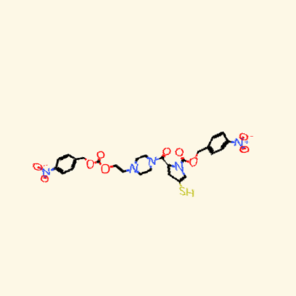 O=C(OCCN1CCN(C(=O)[C@@H]2C[C@H](S)CN2C(=O)OCc2ccc([N+](=O)[O-])cc2)CC1)OCc1ccc([N+](=O)[O-])cc1